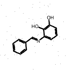 Oc1cccc(N=Cc2ccccc2)c1O